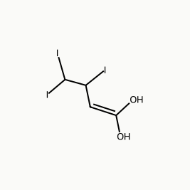 OC(O)=CC(I)C(I)I